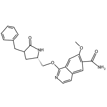 COc1cc2c(OC[C@@H]3CC(Cc4ccccc4)C(=O)N3)nccc2cc1C(N)=O